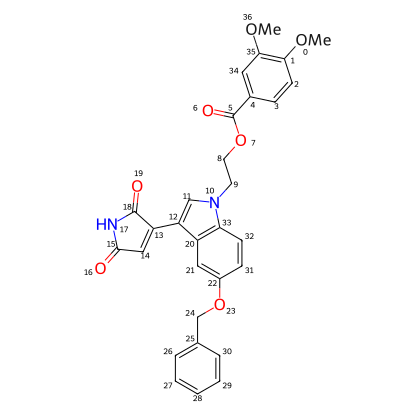 COc1ccc(C(=O)OCCn2cc(C3=CC(=O)NC3=O)c3cc(OCc4ccccc4)ccc32)cc1OC